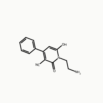 N#Cc1c(-c2ccccc2)cc(O)n(CCN)c1=O